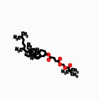 CC(C)CCC[C@@H](C)[C@H]1CC[C@H]2[C@@H]3CC=C4C[C@@H](OC(=O)CCC(=O)OCOC(=O)C(C)(C)C)CC[C@]4(C)[C@H]3CC[C@]12C